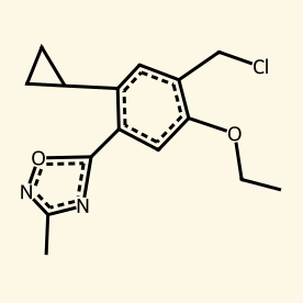 CCOc1cc(-c2nc(C)no2)c(C2CC2)cc1CCl